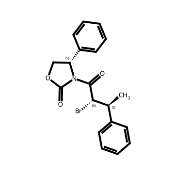 C[C@@H](c1ccccc1)[C@H](Br)C(=O)N1C(=O)OC[C@@H]1c1ccccc1